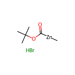 Br.[CH3][Zn][C](=O)OC(C)(C)C